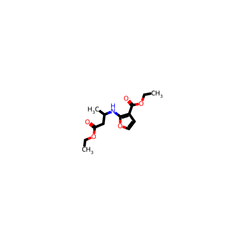 CCOC(=O)CC(C)Nc1occc1C(=O)OCC